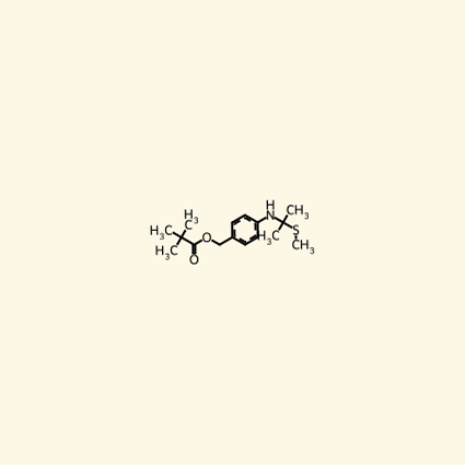 CSC(C)(C)Nc1ccc(COC(=O)C(C)(C)C)cc1